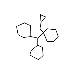 C1CCC(C(C2CCCCC2)C2(CC3CC3)CCCCC2)CC1